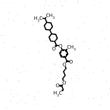 C=CC(=O)OCCCCOC(=O)c1ccc(OC(=O)C2CCC(C3CCC(C(C)C)CC3)CC2)c(C)c1